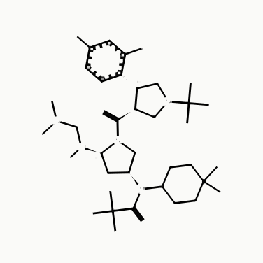 CN(C)C[S+]([O-])[C@@H]1C[C@H](N(C(=O)C(C)(C)C)C2CCC(C)(C)CC2)CN1C(=O)[C@@H]1CN(C(C)(C)C)C[C@H]1c1ccc(F)cc1F